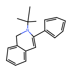 CC(C)(C)N1Cc2ccccc2C=C1c1ccccc1